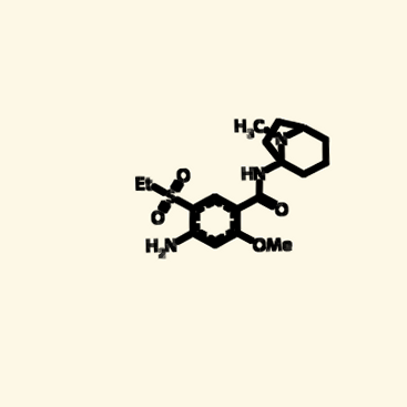 CCS(=O)(=O)c1cc(C(=O)NC23CCCC(CC2)N3C)c(OC)cc1N